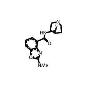 CNc1nc2c(C(=O)NC3CN4CCC3CC4)cccc2o1